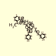 C=Cc1ccccc1S(=O)(=O)NC[C@H]1C[C@@H]2O[C@H](CCOCc3ccccc3)[C@@H](OCc3ccccc3)[C@@H]2O1